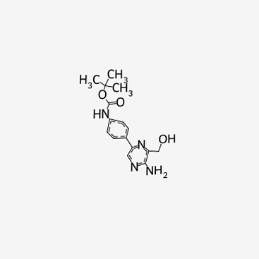 CC(C)(C)OC(=O)Nc1ccc(-c2cnc(N)c(CO)n2)cc1